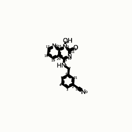 N#Cc1cccc(CNc2nc(=O)n(O)c3ncccc23)c1